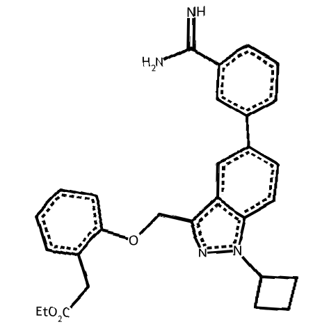 CCOC(=O)Cc1ccccc1OCc1nn(C2CCC2)c2ccc(-c3cccc(C(=N)N)c3)cc12